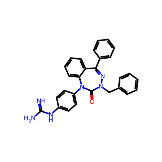 N=C(N)Nc1ccc(N2C(=O)N(Cc3ccccc3)N=C(c3ccccc3)c3ccccc32)cc1